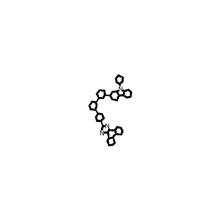 c1ccc(-n2c3ccccc3c3ccc(-c4cccc(-c5cccc(-c6ccc(-c7cnc8c9ccccc9c9ccccc9c8n7)cc6)c5)c4)cc32)cc1